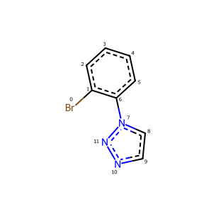 Brc1ccccc1-n1ccnn1